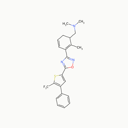 CC1=C(c2noc(-c3cc(-c4ccccc4)c(C(F)(F)F)s3)n2)C=CCC1CN(C)C